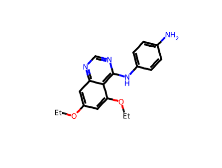 CCOc1cc(OCC)c2c(Nc3ccc(N)cc3)ncnc2c1